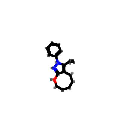 Cc1c2c(nn1-c1ccccc1)OCCCCC2